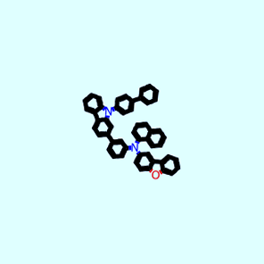 c1ccc(-c2ccc(-n3c4ccccc4c4ccc(-c5cccc(N(c6ccc7oc8ccccc8c7c6)c6cccc7ccccc67)c5)cc43)cc2)cc1